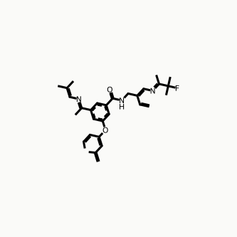 C=C/C(=C\N=C(/C)C(C)(C)F)CNC(=O)c1cc(OC(/C=C\C)=C/C(=C)C)cc(/C(C)=N/C=C(C)C)c1